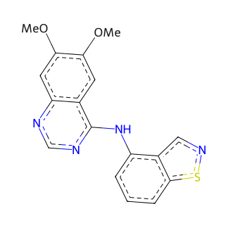 COc1cc2ncnc(Nc3cccc4sncc34)c2cc1OC